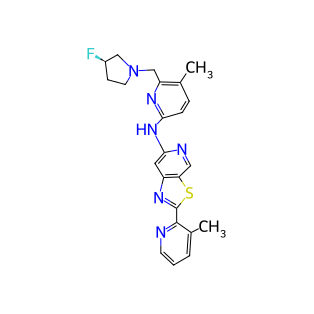 Cc1ccc(Nc2cc3nc(-c4ncccc4C)sc3cn2)nc1CN1CC[C@@H](F)C1